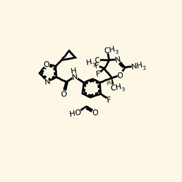 CC1(C)N=C(N)O[C@](C)(c2cc(NC(=O)c3ncoc3C3CC3)ccc2F)C1(F)F.O=CO